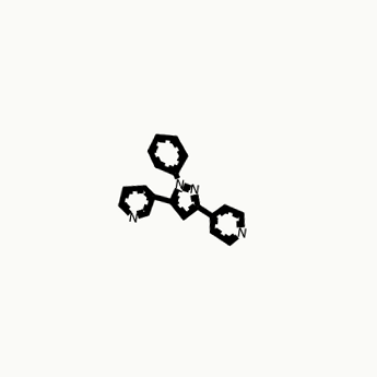 c1ccc(-n2nc(-c3ccncc3)cc2-c2cccnc2)cc1